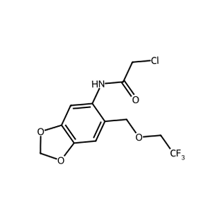 O=C(CCl)Nc1cc2c(cc1COCC(F)(F)F)OCO2